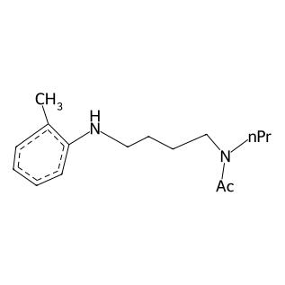 CCCN(CCCCNc1ccccc1C)C(C)=O